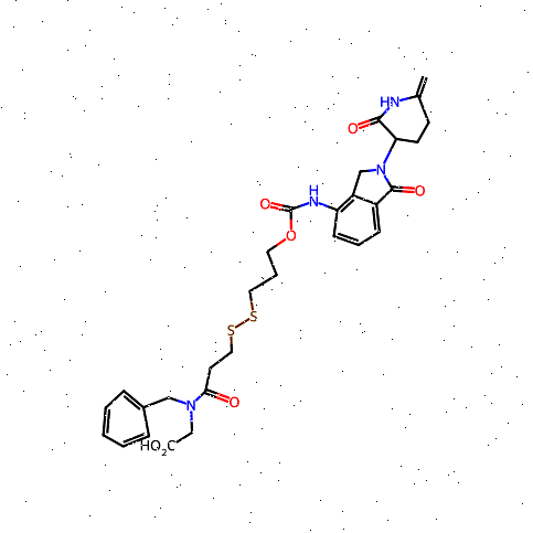 C=C1CCC(N2Cc3c(NC(=O)OCCCSSCCC(=O)N(CC(=O)O)Cc4ccccc4)cccc3C2=O)C(=O)N1